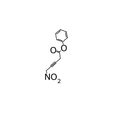 O=C(CC#CC[N+](=O)[O-])Oc1ccccc1